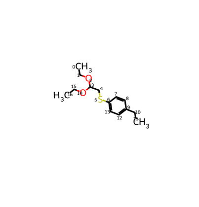 CCOC(CSc1ccc(CC)cc1)OCC